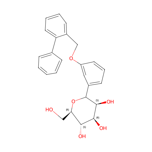 OC[C@H]1OC(c2cccc(OCc3ccccc3-c3ccccc3)c2)[C@@H](O)[C@@H](O)[C@@H]1O